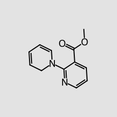 COC(=O)c1cccnc1N1C=CC=CC1